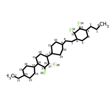 CCCC1CCC(CCC2CCC(C3CCC(C4CCC(CC)CC4)C(F)[C@H]3F)CC2)C(F)C1F